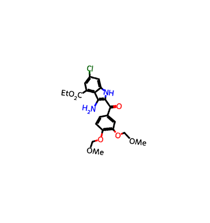 CCOC(=O)c1cc(Cl)cc2[nH]c(C(=O)c3ccc(OCOC)c(OCOC)c3)c(N)c12